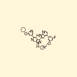 Fc1cc(OCCN2CCCC2)cc(-c2ccnc3[nH]c(-c4n[nH]c5cnc(-c6cncc(OC7CCCCC7)c6)cc45)cc23)c1